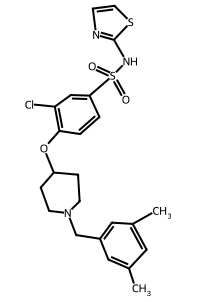 Cc1cc(C)cc(CN2CCC(Oc3ccc(S(=O)(=O)Nc4nccs4)cc3Cl)CC2)c1